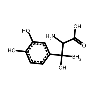 BC(O)(c1ccc(O)c(O)c1)C(N)C(=O)O